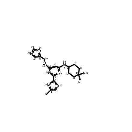 Cc1csc(-c2nc(NC3CCC(F)(F)CC3)cc(OCc3cnco3)n2)n1